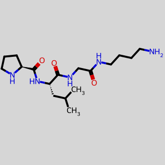 CC(C)C[C@H](NC(=O)[C@@H]1CCCN1)C(=O)NCC(=O)NCCCCN